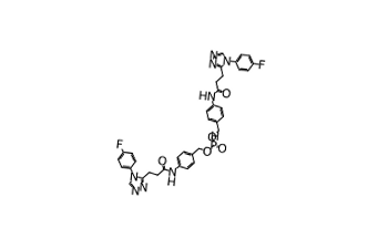 O=C(CCc1nncn1-c1ccc(F)cc1)Nc1ccc(CO[PH](=O)OCc2ccc(NC(=O)CCc3nncn3-c3ccc(F)cc3)cc2)cc1